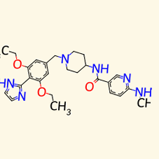 CCOc1cc(CN2CCC(NC(=O)c3ccc(NC)nc3)CC2)cc(OCC)c1-c1ncc[nH]1